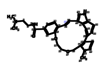 CN(C)CCNC(=O)c1ccc2c(c1)OCCOCc1c(cnn1C)-c1cc3c(n[nH]c3cn1)/C=C/2